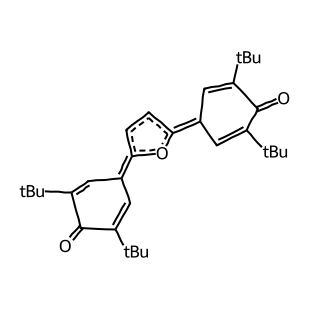 CC(C)(C)C1=CC(=c2ccc(=C3C=C(C(C)(C)C)C(=O)C(C(C)(C)C)=C3)o2)C=C(C(C)(C)C)C1=O